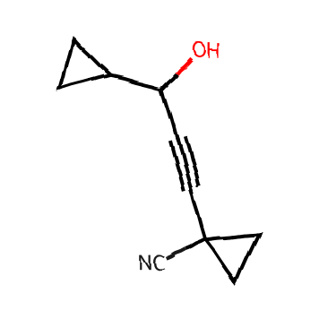 N#CC1(C#CC(O)C2CC2)CC1